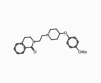 COc1ccc(OC2CCN(CCN3CCc4ccccc4C3=O)CC2)cc1